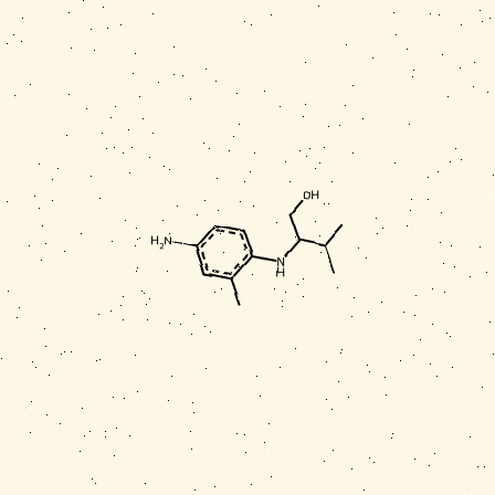 Cc1cc(N)ccc1NC(CO)C(C)C